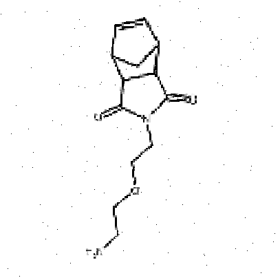 NCCOCCN1C(=O)C2C3C=CC(C3)C2C1=O